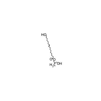 CC(CO)COC(=O)CCCCCCC/C=C/CCCCCCO